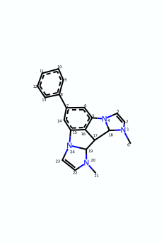 CN1C=CN2c3cc(-c4ccccc4)cc4c3C(C12)C1N(C)C=CN41